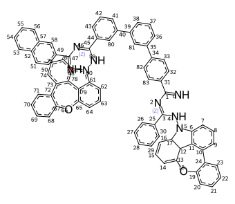 N=C(/N=C(\NN1c2cccc3c2C2C(=CC=CC21)Oc1ccccc1-3)c1ccccc1)c1ccc(-c2cccc(-c3cccc(/C(=N/C(=N)c4ccc5ccccc5c4)Nn4c5cccc6oc7ccccc7c7cccc4c7c65)c3)c2)cc1